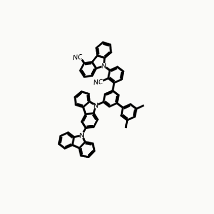 Cc1cc(C)cc(-c2cc(-c3cccc(-n4c5ccccc5c5c(C#N)cccc54)c3C#N)cc(-n3c4ccccc4c4cc(-n5c6ccccc6c6ccccc65)ccc43)c2)c1